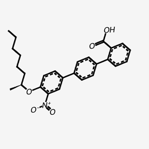 CCCCCC[C@H](C)Oc1ccc(-c2ccc(-c3ccccc3C(=O)O)cc2)cc1[N+](=O)[O-]